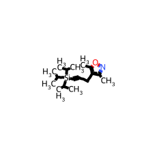 Cc1noc(C)c1CC#C[Si](C(C)C)(C(C)C)C(C)C